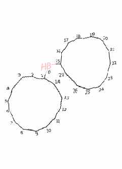 B(C1CCCCCCCCCCCCC1)C1CCCCCCCCCCCC1